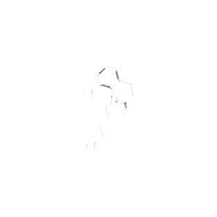 O=C1CCc2cccc(Cl)c2N1CCCCCl